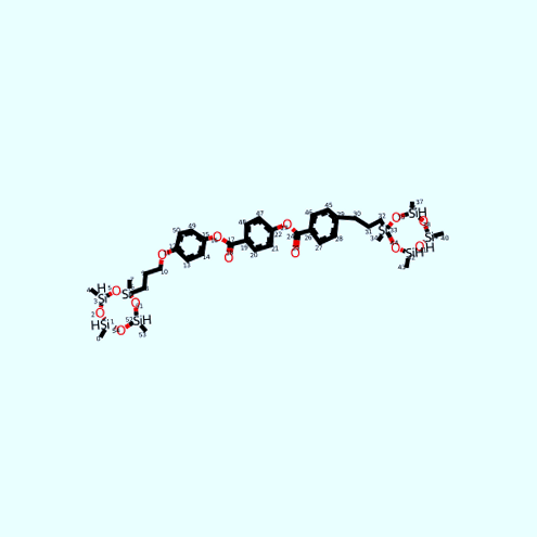 C[SiH]1O[SiH](C)O[Si](C)(CCCOc2ccc(OC(=O)c3ccc(OC(=O)c4ccc(CCC[Si]5(C)O[SiH](C)O[SiH](C)O[SiH](C)O5)cc4)cc3)cc2)O[SiH](C)O1